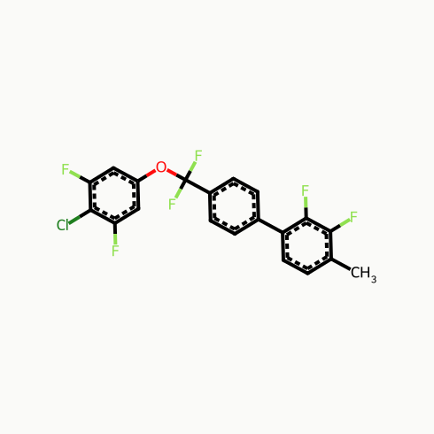 Cc1ccc(-c2ccc(C(F)(F)Oc3cc(F)c(Cl)c(F)c3)cc2)c(F)c1F